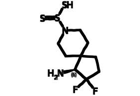 N[C@@H]1C(F)(F)CCC12CCN(S(=S)S)CC2